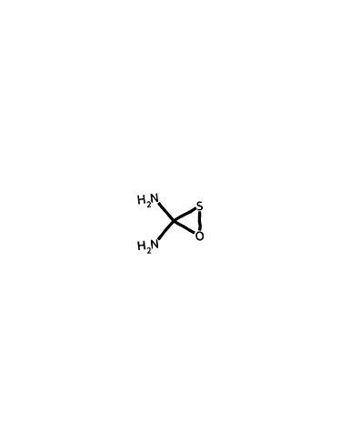 NC1(N)OS1